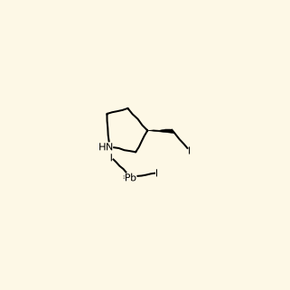 IC[C@@H]1CCNC1.[I][Pb][I]